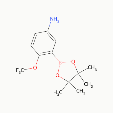 CC1(C)OB(c2cc(N)ccc2OC(F)(F)F)OC1(C)C